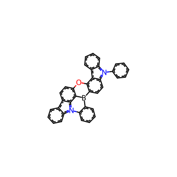 c1ccc(-n2c3ccccc3c3c4c(ccc32)B2c3ccccc3-n3c5ccccc5c5ccc(c2c53)O4)cc1